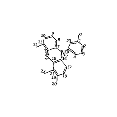 Cc1cccc(N2c3cccc(C)c3Sc3c2ccc(C)c3C)c1